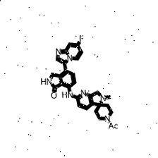 CC(=O)N1CCC2(CC1)c1ccc(Nc3ccc(-c4cnc5cc(F)ccn45)c4c3C(=O)NC4)nc1CN2C